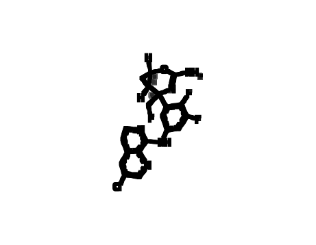 NC1=N[C@](CF)(c2cc(Nc3nccc4cc(Cl)cnc34)cc(F)c2F)[C@@H]2C[C@@H]2O1